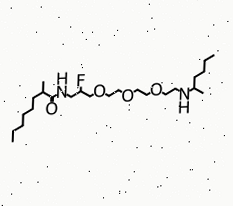 CCCCCCC(C)C(=O)NCC(F)COCCOCCOCCNC(C)CCCC